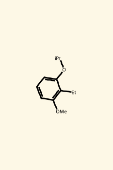 CCc1c(OC)cccc1OC(C)C